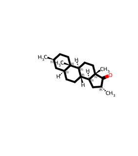 C[C@H]1CC[C@@]2(C)[C@@H](CC[C@@H]3[C@@H]2CC[C@]2(C)C(=O)[C@H](C)C[C@@H]32)C1